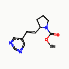 CC(C)(C)OC(=O)N1CCCC1C=Cc1cncnc1